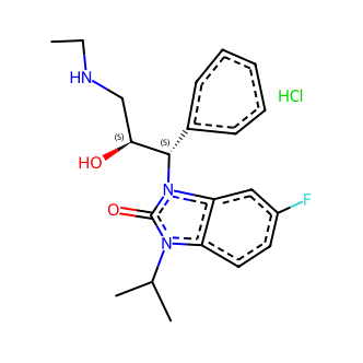 CCNC[C@H](O)[C@H](c1ccccc1)n1c(=O)n(C(C)C)c2ccc(F)cc21.Cl